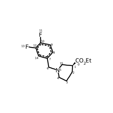 CCOC(=O)[C@H]1CCCN(Cc2ccc(F)c(F)c2)C1